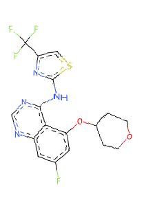 Fc1cc(OC2CCOCC2)c2c(Nc3nc(C(F)(F)F)cs3)ncnc2c1